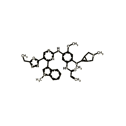 C=CC(=O)Nc1cc(Nc2ncc(-c3nnc(CC)o3)c(-c3cn(C)c4ccccc34)n2)c(OC)cc1N(C)C1=C2CN(C)CC21